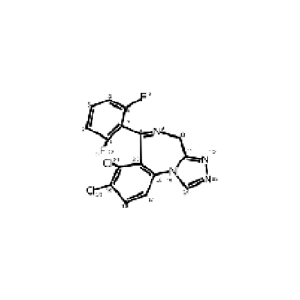 Fc1cccc(F)c1C1=NCc2nncn2-c2ccc(Cl)c(Cl)c21